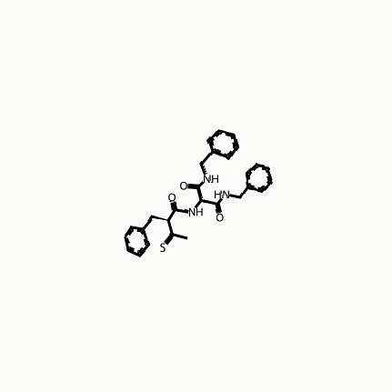 CC(=S)[C@@H](Cc1ccccc1)C(=O)NC(C(=O)NCc1ccccc1)C(=O)NCc1ccccc1